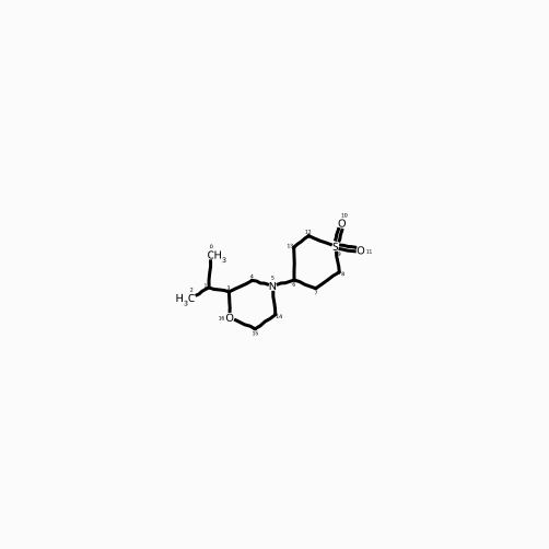 CC(C)C1CN(C2CCS(=O)(=O)CC2)CCO1